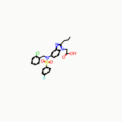 CCCc1nc2cc(N(Cc3ccccc3Cl)S(=O)(=O)c3ccc(F)cc3)ccc2n1CC(=O)O